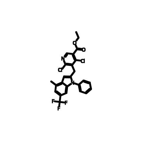 CCOC(=O)c1cnc(Cl)c(Cc2cc3c(C)cc(C(F)(F)F)cc3n2-c2ccccc2)c1Cl